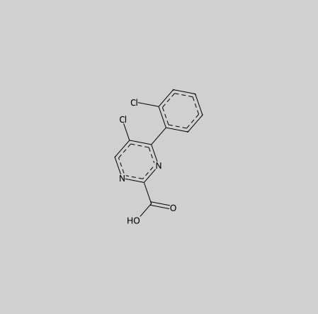 O=C(O)c1ncc(Cl)c(-c2ccccc2Cl)n1